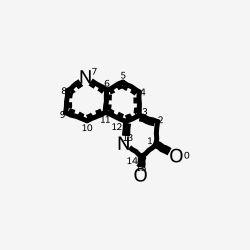 O=C1C=c2ccc3ncccc3c2=NC1=O